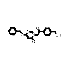 O=C(Cn1cnc(OCc2ccccc2)cc1=O)c1ccc(CO)cc1